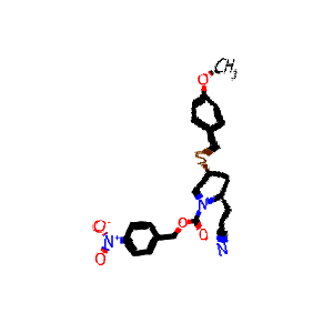 COc1ccc(CS[C@H]2C[C@@H](CC#N)N(C(=O)OCc3ccc([N+](=O)[O-])cc3)C2)cc1